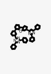 c1ccc(-c2cc(-c3ccc4c(c3)oc3c(-c5cccc(-c6nc(-c7ccccc7)nc(-c7ccccc7)n6)c5)cccc34)nc(-c3ccccc3)n2)cc1